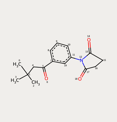 CC(C)(C)CC(=O)c1cccc(N2C(=O)CCC2=O)c1